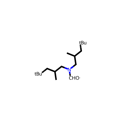 CC(CN([C]=O)CC(C)CC(C)(C)C)CC(C)(C)C